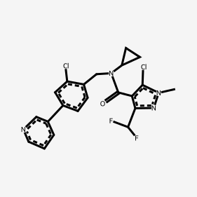 Cn1nc(C(F)F)c(C(=O)N(Cc2ccc(-c3cccnc3)cc2Cl)C2CC2)c1Cl